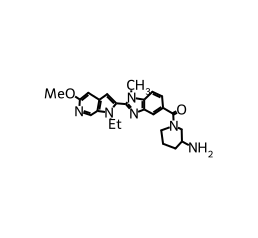 CCn1c(-c2nc3cc(C(=O)N4CCCC(N)C4)ccc3n2C)cc2cc(OC)ncc21